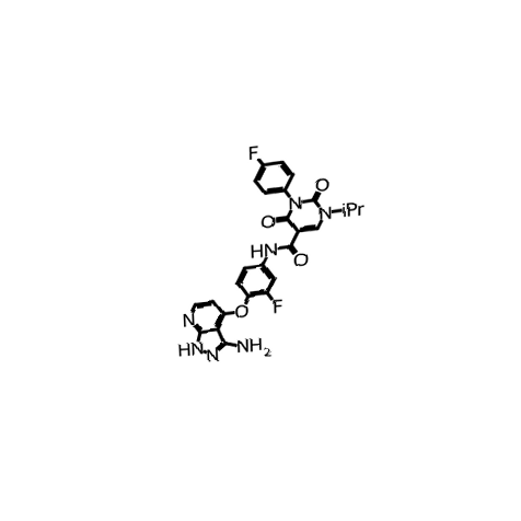 CC(C)n1cc(C(=O)Nc2ccc(Oc3ccnc4[nH]nc(N)c34)c(F)c2)c(=O)n(-c2ccc(F)cc2)c1=O